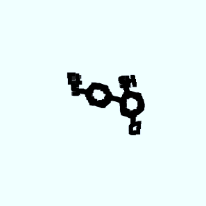 CCSc1ccc(-c2cc(Cl)ccc2S)cc1